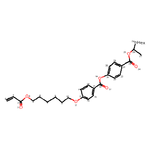 C=CC(=O)OCCCCCCOc1ccc(C(=O)Oc2ccc(C(=O)OC(C)CCCCCC)cc2)cc1